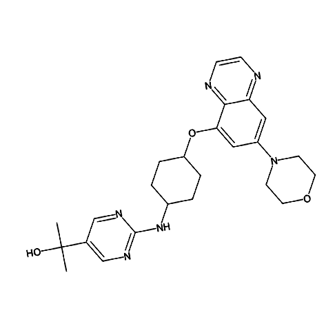 CC(C)(O)c1cnc(NC2CCC(Oc3cc(N4CCOCC4)cc4nccnc34)CC2)nc1